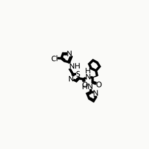 O=C(N[C@@H](CC1CCCCC1)C(=O)Nc1ccccn1)c1cnc(CNc2cncc(Cl)c2)s1